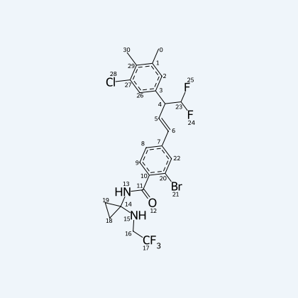 Cc1cc(C(/C=C/c2ccc(C(=O)NC3(NCC(F)(F)F)CC3)c(Br)c2)C(F)F)cc(Cl)c1C